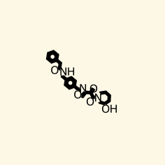 O=C(Cc1ccccc1)NCc1ccc(-c2nc(C(=O)C(=O)N3CCCCC(O)C3)co2)cc1